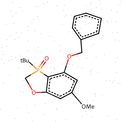 COc1cc(OCc2ccccc2)c2c(c1)OCP2(=O)C(C)(C)C